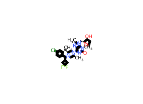 CC[C@@H]1CN(c2nc(=O)n(C)c3c2nc(C)n3C[C@H]2OCC[C@@H]2O)[C@@H](C)CN1C(c1ccc(Cl)cc1)C1CC(F)(F)C1